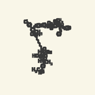 Cc1ncsc1-c1ccc([C@H](C)NC(=O)[C@@H]2C[C@@H](O)CN2C(=O)[C@@H](NC(=O)CCCCCCCCCNC(=O)C2(C)CCC(c3ccc(Cl)cc3)=C(CN3CCN(c4ccc(C(=O)NS(=O)(=O)c5ccc(N[C@H](CCN6CCOCC6)CSc6ccccc6)c(S(=O)(=O)C(F)(F)F)c5)cc4)CC3)C2)C(C)(C)C)cc1